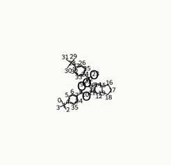 CC(C)(C)c1ccc(C(=O)OC2C3CC(C4CCCC43)C2OC(=O)c2ccc(C(C)(C)C)cc2)cc1